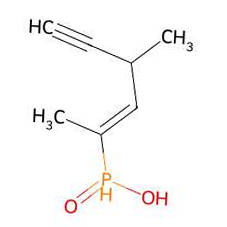 C#CC(C)/C=C(\C)[PH](=O)O